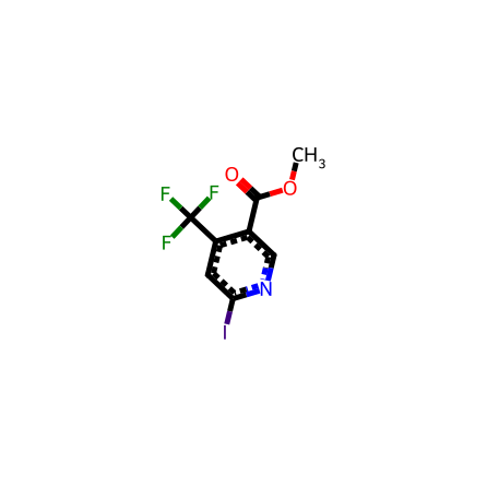 COC(=O)c1cnc(I)cc1C(F)(F)F